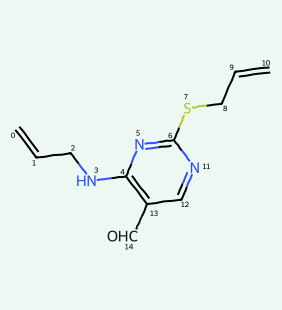 C=CCNc1nc(SCC=C)ncc1C=O